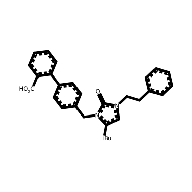 CCC(C)c1cn(CCc2ccccc2)c(=O)n1Cc1ccc(-c2ccccc2C(=O)O)cc1